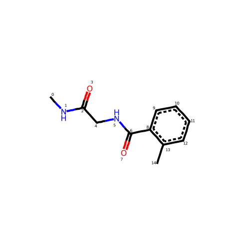 CNC(=O)CNC(=O)c1ccccc1C